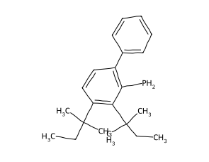 CCC(C)(C)c1ccc(-c2ccccc2)c(P)c1C(C)(C)CC